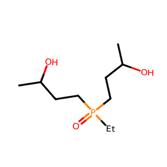 CCP(=O)(CCC(C)O)CCC(C)O